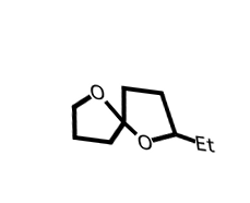 CCC1CCC2(CCCO2)O1